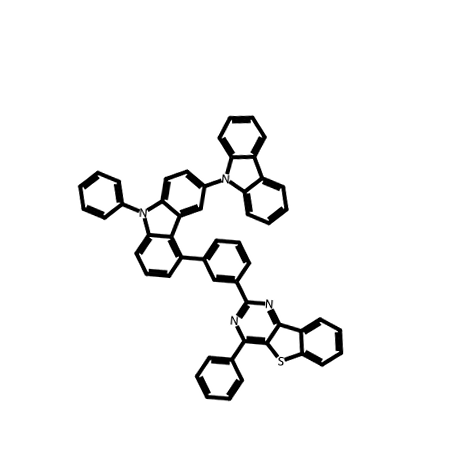 c1ccc(-c2nc(-c3cccc(-c4cccc5c4c4cc(-n6c7ccccc7c7ccccc76)ccc4n5-c4ccccc4)c3)nc3c2sc2ccccc23)cc1